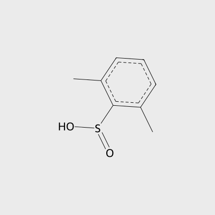 Cc1cccc(C)c1S(=O)O